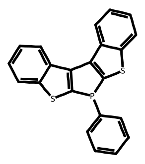 c1ccc(-p2c3sc4ccccc4c3c3c4ccccc4sc32)cc1